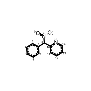 O=[N+]([O-])C(c1ccccc1)c1ccccn1